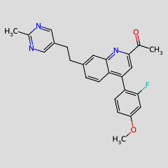 COc1ccc(-c2cc(C(C)=O)nc3cc(CCc4cnc(C)nc4)ccc23)c(F)c1